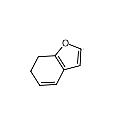 [c]1cc2c(o1)CCC=C2